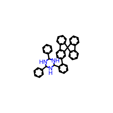 c1ccc(C2NC(c3ccccc3)NC(c3ccccc3-c3ccc4c(c3)C3(c5ccccc5-c5ccccc53)c3ccccc3-4)N2)cc1